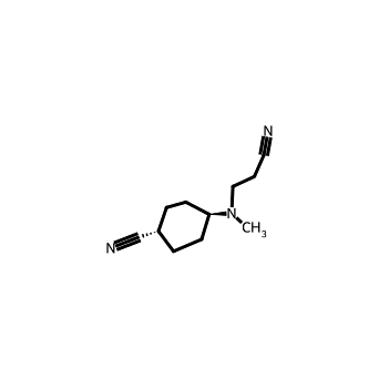 CN(CCC#N)[C@H]1CC[C@H](C#N)CC1